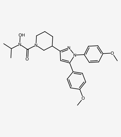 COc1ccc(-c2cc(C3CCCN(C(=O)N(O)C(C)C)C3)nn2-c2ccc(OC)cc2)cc1